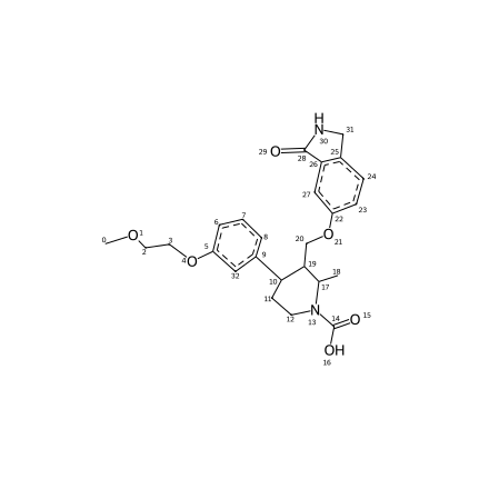 COCCOc1cccc(C2CCN(C(=O)O)C(C)C2COc2ccc3c(c2)C(=O)NC3)c1